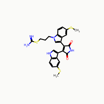 CSc1ccc2[nH]cc(C3=C(c4cn(CCCSC(=N)N)c5ccc(SC)cc45)C(=O)NC3=O)c2c1